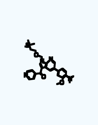 COc1cc(-c2cnc3c(c2)c(C(=O)c2ccncc2)cn3COCC[Si](C)(C)C)ccc1N(C)C